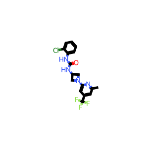 Cc1cc(C(F)(F)F)cc(N2CC(NC(=O)Nc3ccccc3Cl)C2)n1